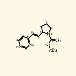 CC(C)(C)OC(=O)N1CCCC1C=Cc1ccncn1